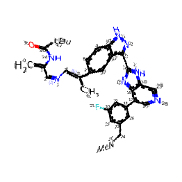 C=C(/C=N\C=C(/C)c1ccc2[nH]nc(-c3nc4c(-c5cc(F)cc(CNC)c5)cncc4[nH]3)c2c1)NC(=O)C(C)(C)C